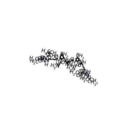 Bc1cc(NC(=O)CCCCN/C(=N/C(=O)OC(C)(C)C)NC(=O)OC(C)(C)C)c(SCCN)c(NC(=O)c2cc(C(=O)Nc3cc(B)cc(NC(=O)CCCCN/C(=N/C(=O)OC(C)(C)C)NC(=O)OC(C)(C)C)c3SCCN)ncn2)c1